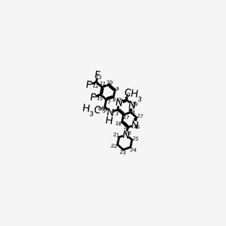 Cc1nc(N[C@H](C)c2cccc(C(F)F)c2F)c2cc(N3CCCCC3)ncc2n1